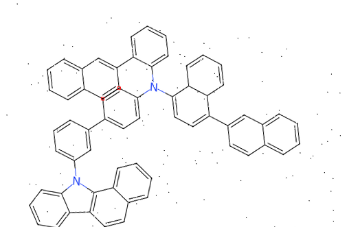 C1=CC2C(c3ccc4ccccc4c3)=CC=C(N(c3ccc(-c4cccc(-n5c6ccccc6c6ccc7ccccc7c65)c4)cc3)c3ccccc3-c3ccc4ccccc4c3)C2C=C1